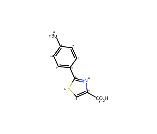 CCCCc1ccc(-c2nc(C(=O)O)cs2)cc1